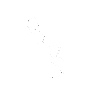 COC(=O)c1cc2cnc(C(=O)NC3CN4CCC3C4)cc2o1